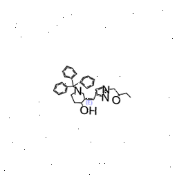 CCC(=O)Cn1ccc(/C=C2\CN(C(c3ccccc3)(c3ccccc3)c3ccccc3)CCC2O)n1